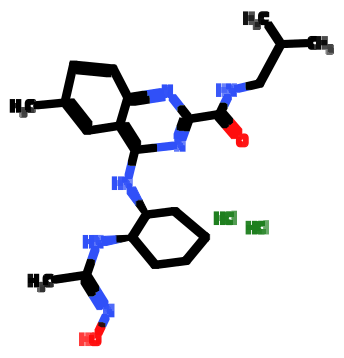 C/C(=N\O)N[C@@H]1CCCC[C@@H]1Nc1nc(C(=O)NCC(C)C)nc2ccc(C)cc12.Cl.Cl